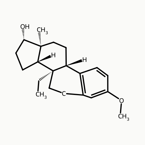 CC[C@@]12CCc3cc(OC)ccc3[C@H]1CC[C@@]1(C)[C@H]2CC[C@@H]1O